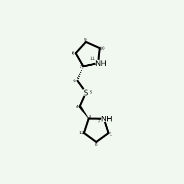 C1CN[C@H](CSC[C@@H]2CCCN2)C1